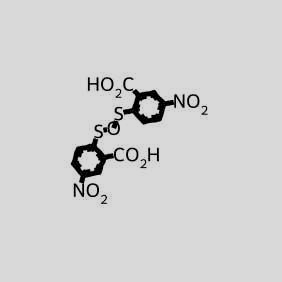 O=C(O)c1cc([N+](=O)[O-])ccc1SOSc1ccc([N+](=O)[O-])cc1C(=O)O